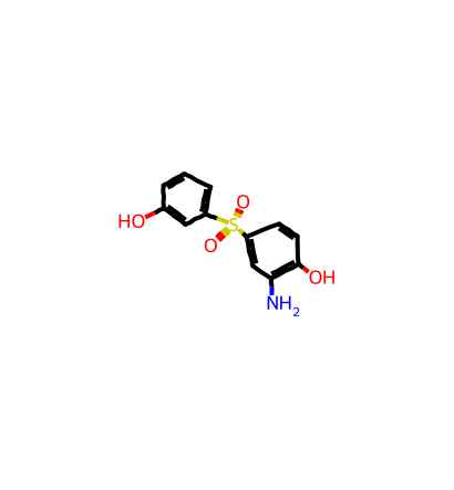 Nc1cc(S(=O)(=O)c2cccc(O)c2)ccc1O